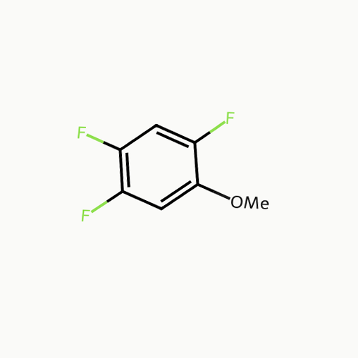 [CH2]Oc1cc(F)c(F)cc1F